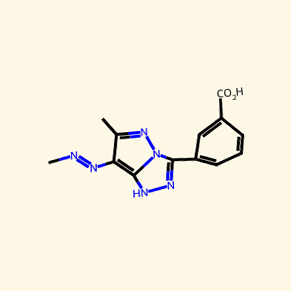 C/N=N/c1c(C)nn2c(-c3cccc(C(=O)O)c3)n[nH]c12